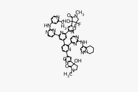 Cc1cc(Nc2nccc(-c3cc(-c4ccc(-c5cc(C6(O)CCN(C)C6=O)no5)nc4-c4ccnc(Nc5cnn6c5CCCC6)n4)cc(-c4cc(C5(O)C(=O)N(C)CC5(F)F)on4)n3)n2)ccn1